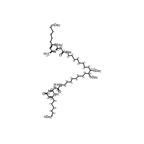 C=C1C=C(CCCCCCCCCCCCCCC)NC(NC(=O)NCCCCCCCCC(CCCCCCCCCC)C(CCCCCCCCCC)CCCCCCCCNC(=O)Nc2nc(=O)cc(CCCCCCCCCCCCCCC)[nH]2)=N1